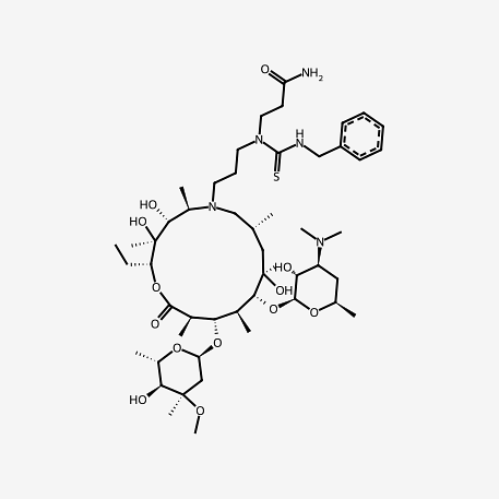 CC[C@H]1OC(=O)[C@H](C)[C@@H](O[C@H]2C[C@@](C)(OC)[C@@H](O)[C@H](C)O2)[C@H](C)[C@@H](O[C@@H]2O[C@H](C)C[C@H](N(C)C)[C@H]2O)[C@](C)(O)C[C@@H](C)CN(CCCN(CCC(N)=O)C(=S)NCc2ccccc2)[C@H](C)[C@@H](O)[C@]1(C)O